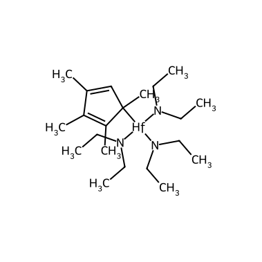 CC[N](CC)[Hf]([N](CC)CC)([N](CC)CC)[C]1(C)C=C(C)C(C)=C1C